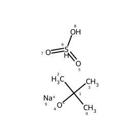 CC(C)(C)[O-].O=[SH](=O)O.[Na+]